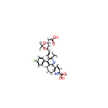 CC(C)c1nc2c(c(-c3ccc(F)cc3)c1/C=C/[C@@H]1C[C@H](CC(=O)O)OC(C)(C)O1)CCCc1nc(C(=O)O)ccc1-2